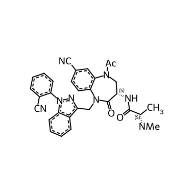 CN[C@@H](C)C(=O)N[C@H]1CN(C(C)=O)c2cc(C#N)ccc2N(Cc2nn(-c3ccccc3C#N)c3ccccc23)C1=O